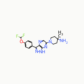 CC1(N)CCN(c2cnc3c(-c4ccc(OC(F)F)cc4)n[nH]c3n2)CC1